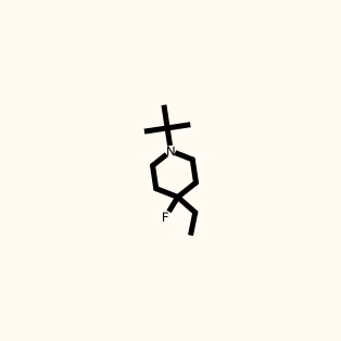 CCC1(F)CCN(C(C)(C)C)CC1